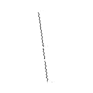 CCCCCCCCCCCCCCCCCCCCCCCCCCCCCCOCCCCCCCCCCCCCCCCCCCCCCC(=O)[O-].[Na+]